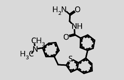 CN(C)c1cccc(Cc2cc3cccc(-c4cccc(C(=O)NCC(N)=O)c4)c3s2)c1